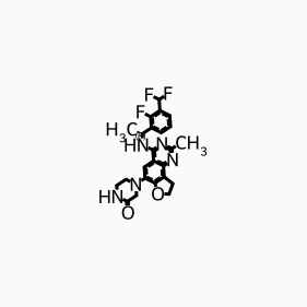 Cc1nc(N[C@H](C)c2cccc(C(F)F)c2F)c2cc(N3CCNC(=O)C3)c3c(c2n1)CCO3